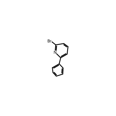 Brc1cccc(-c2cc[c]cc2)n1